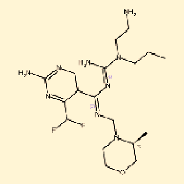 CCCN(CCN)/C(N)=N/C(=N\CN1CCOC[C@@H]1C)C1CN=C(N)N=C1C(F)F